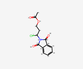 CC(=O)OCCC(Cl)N1C(=O)c2ccccc2C1=O